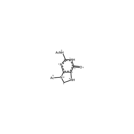 CC(=O)Nc1nc2c(c(=O)[nH]1)NCN2C(C)=O